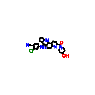 N#Cc1ccc(N[C@@H](C2CCCC2)[C@H]2CCc3nc(C(=O)N4CCC(O)CC4)ccc3C2=N)cc1Cl